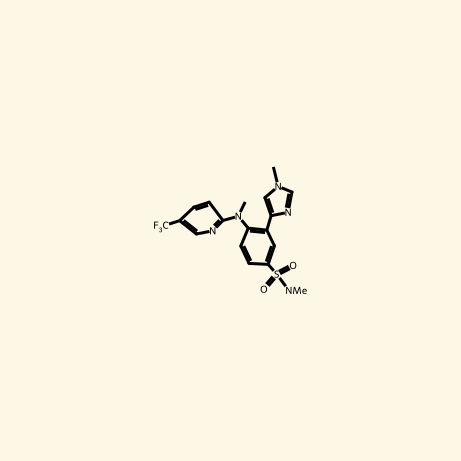 CNS(=O)(=O)c1ccc(N(C)c2ccc(C(F)(F)F)cn2)c(-c2cn(C)cn2)c1